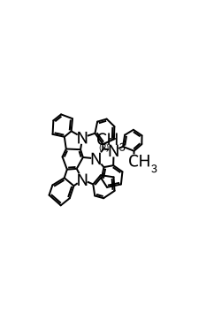 Cc1ccccc1N1c2ccccc2N(c2c3c(cc4c5ccccc5n(-c5ccccc5)c24)c2ccccc2n3-c2ccccc2)[C@@H]1C